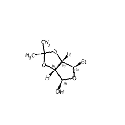 CC[C@H]1O[C@@H](O)[C@@H]2OC(C)(C)O[C@@H]21